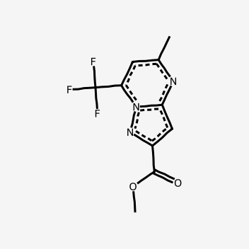 COC(=O)c1cc2nc(C)cc(C(F)(F)F)n2n1